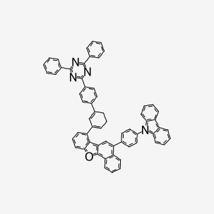 C1=C(c2ccc(-c3nc(-c4ccccc4)nc(-c4ccccc4)n3)cc2)CCC=C1c1cccc2oc3c4ccccc4c(-c4ccc(-n5c6ccccc6c6ccccc65)cc4)cc3c12